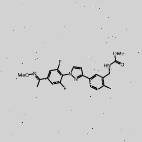 CO/N=C(\C)c1cc(F)c(-n2ccc(-c3ccc(C)c(CNC(=O)OC)c3)n2)c(F)c1